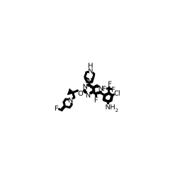 Nc1cc(Cl)c(C(F)(F)F)c(-c2ncc3c(N4C5CCC4CNC5)nc(OCC4(CN5CCC(=CF)CC5)CC4)nc3c2F)c1